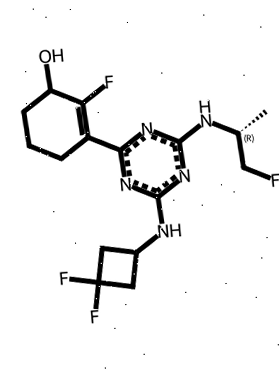 C[C@H](CF)Nc1nc(NC2CC(F)(F)C2)nc(C2=C(F)C(O)CCC2)n1